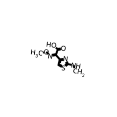 CNc1nc(C(=NOC)C(=O)O)cs1